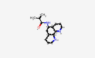 C=C(C)C(=O)Nc1cc2cccnc2c2ncccc12